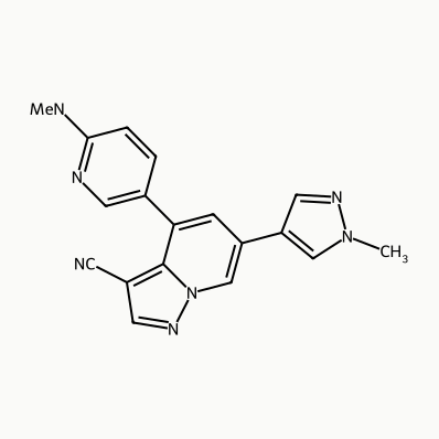 CNc1ccc(-c2cc(-c3cnn(C)c3)cn3ncc(C#N)c23)cn1